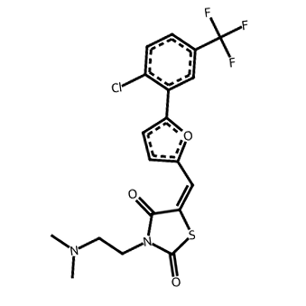 CN(C)CCN1C(=O)SC(=Cc2ccc(-c3cc(C(F)(F)F)ccc3Cl)o2)C1=O